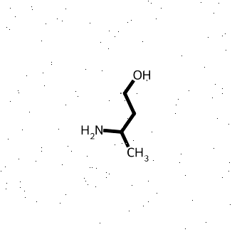 CC(N)C[CH]O